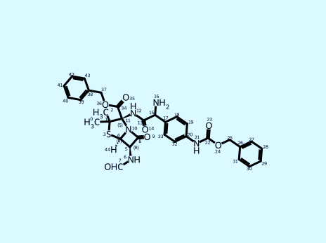 CC1(C)S[C@@H]2[C@H](NC=O)C(=O)N2[C@@]1(NC(=O)C(N)c1ccc(NC(=O)OCc2ccccc2)cc1)C(=O)OCc1ccccc1